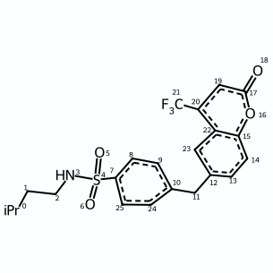 CC(C)CCNS(=O)(=O)c1ccc(Cc2ccc3oc(=O)cc(C(F)(F)F)c3c2)cc1